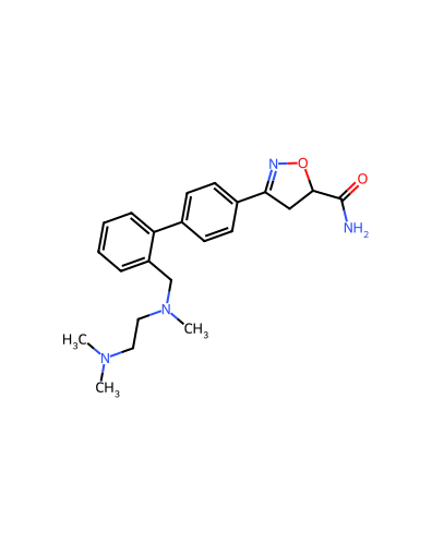 CN(C)CCN(C)Cc1ccccc1-c1ccc(C2=NOC(C(N)=O)C2)cc1